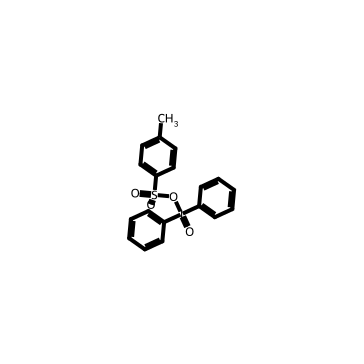 Cc1ccc(S(=O)(=O)OI(=O)(c2ccccc2)c2ccccc2)cc1